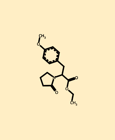 CCOC(=O)C(Cc1ccc(OC)cc1)N1CCCC1=O